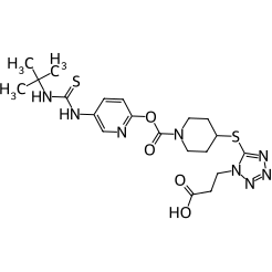 CC(C)(C)NC(=S)Nc1ccc(OC(=O)N2CCC(Sc3nnnn3CCC(=O)O)CC2)nc1